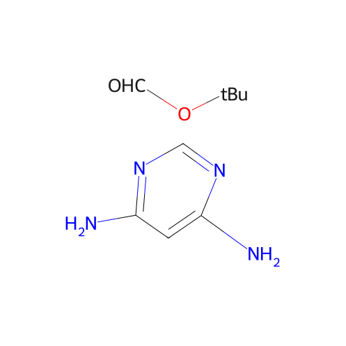 CC(C)(C)OC=O.Nc1cc(N)ncn1